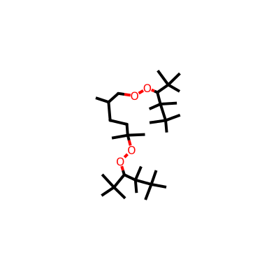 CC(CCC(C)(C)OOC(C(C)(C)C)C(C)(C)C(C)(C)C)COOC(C(C)(C)C)C(C)(C)C(C)(C)C